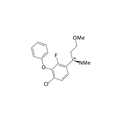 CN[C@H](CCOC)c1ccc(Cl)c(Oc2ccccc2)c1F